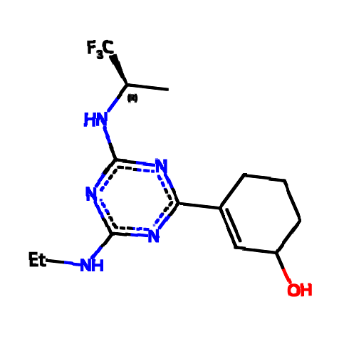 CCNc1nc(N[C@H](C)C(F)(F)F)nc(C2=CC(O)CCC2)n1